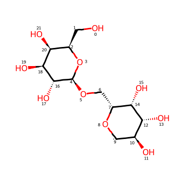 OC[C@H]1O[C@@H](OC[C@H]2O[CH][C@H](O)[C@@H](O)[C@H]2O)[C@H](O)[C@@H](O)[C@H]1O